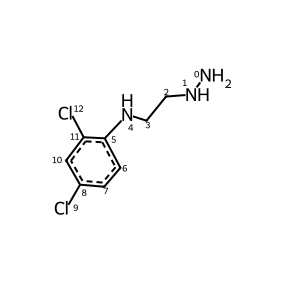 NNCCNc1ccc(Cl)cc1Cl